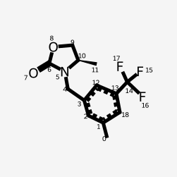 Cc1cc(CN2C(=O)OC[C@H]2C)cc(C(F)(F)F)c1